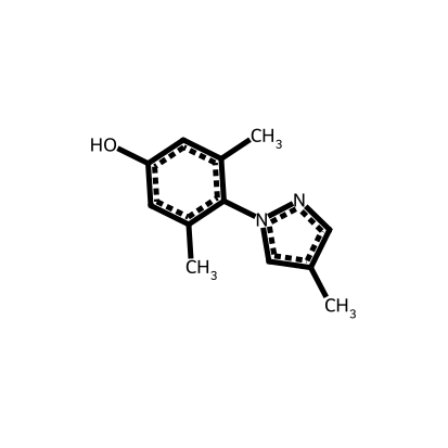 Cc1cnn(-c2c(C)cc(O)cc2C)c1